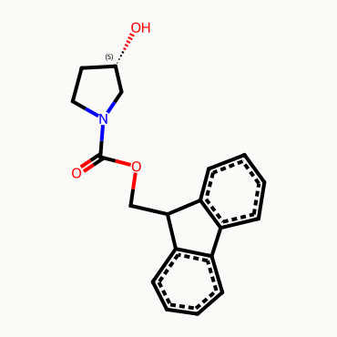 O=C(OCC1c2ccccc2-c2ccccc21)N1CC[C@H](O)C1